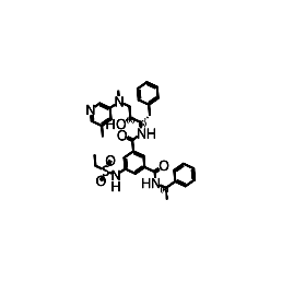 CCS(=O)(=O)Nc1cc(C(=O)N[C@@H](Cc2ccccc2)[C@H](O)CN(C)c2cncc(C)c2)cc(C(=O)N[C@H](C)c2ccccc2)c1